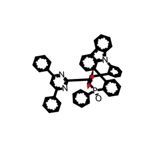 O=P1(c2ccccc2)c2ccccc2C2(c3ccccc3-n3c4ccccc4c4cccc2c43)c2ccc(-c3nc(-c4ccccc4)cc(-c4ccccc4)n3)cc21